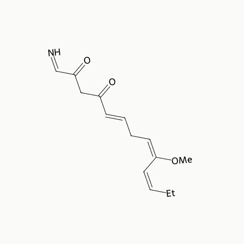 CC/C=C\C(=C/CC=CC(=O)CC(=O)C=N)OC